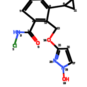 O=C(NCl)c1cccc(C2CC2)c1COc1ccn(O)n1